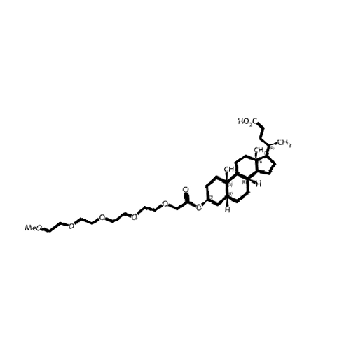 COCCOCCOCCOCCOCC(=O)O[C@H]1CC[C@]2(C)C3CC[C@@]4(C)C(CCC4[C@H](C)CCC(=O)O)[C@@H]3CC[C@@H]2C1